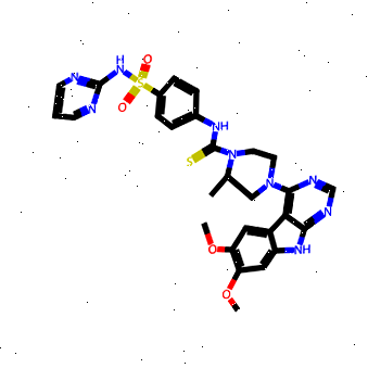 COc1cc2[nH]c3ncnc(N4CCN(C(=S)Nc5ccc(S(=O)(=O)Nc6ncccn6)cc5)C(C)C4)c3c2cc1OC